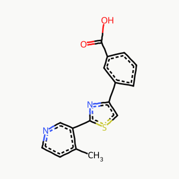 Cc1ccncc1-c1nc(-c2cccc(C(=O)O)c2)cs1